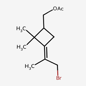 CC(=O)OCC1CC(=C(C)CBr)C1(C)C